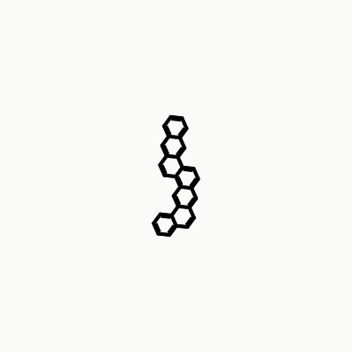 c1ccc2cc3c(ccc4c5cc6c(ccc7ccccc76)cc5ccc34)cc2c1